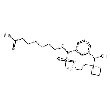 CCCC1(C(O)c2cccc(N(NCCCCCCC(=O)O)S(C)(=O)=O)c2)CCC1